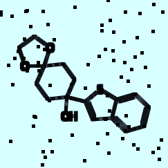 OC1(c2cc3ccccc3s2)CCC2(CC1)OCCO2